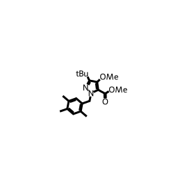 COC(=O)c1c(OC)c(C(C)(C)C)nn1Cc1cc(C)c(C)cc1C